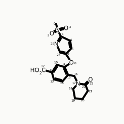 CS(=O)(=O)c1ccc(Oc2cc(C(=O)O)ccc2CN2CCCCC2=O)cn1